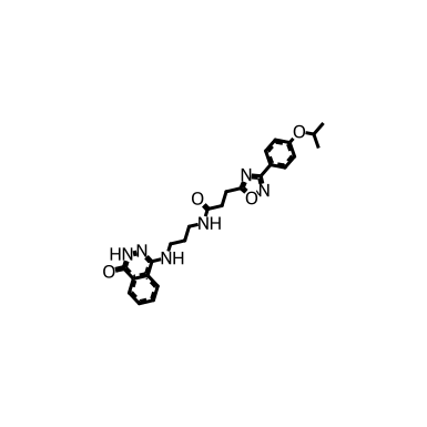 CC(C)Oc1ccc(-c2noc(CCC(=O)NCCCNc3n[nH]c(=O)c4ccccc34)n2)cc1